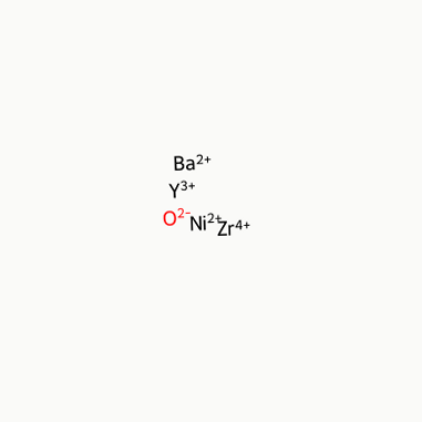 [Ba+2].[Ni+2].[O-2].[Y+3].[Zr+4]